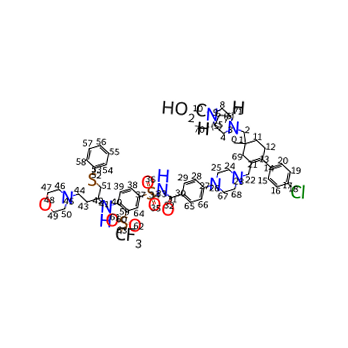 CC1(CN2C[C@@H]3C[C@H]2CN3C(=O)O)CCC(c2ccc(Cl)cc2)=C(CN2CCN(c3ccc(C(=O)NS(=O)(=O)c4ccc(NC(CCN5CCOCC5)CSc5ccccc5)c(S(=O)(=O)C(F)(F)F)c4)cc3)CC2)C1